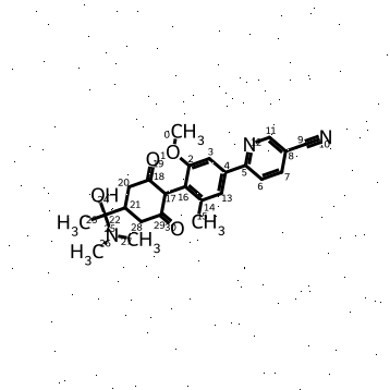 COc1cc(-c2ccc(C#N)cn2)cc(C)c1C1C(=O)CC(C(C)(O)N(C)C)CC1=O